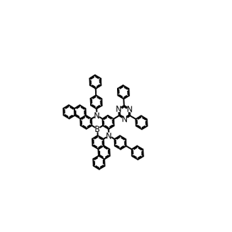 c1ccc(-c2ccc(N3c4cc(-c5nc(-c6ccccc6)nc(-c6ccccc6)n5)cc5c4B(c4ccc6c(ccc7ccccc76)c43)c3ccc4c(ccc6ccccc64)c3N5c3ccc(-c4ccccc4)cc3)cc2)cc1